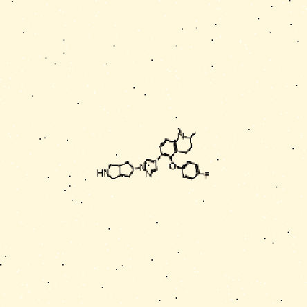 CC1CCc2c(ccc(-c3cnn(C4CC5CNCC5C4)c3)c2Oc2ccc(F)cc2)N1C